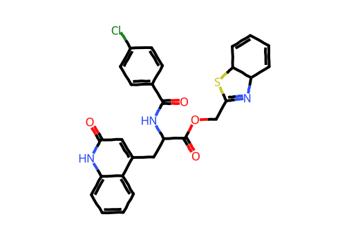 O=C(NC(Cc1cc(=O)[nH]c2ccccc12)C(=O)OCC1=NC2C=CC=CC2S1)c1ccc(Cl)cc1